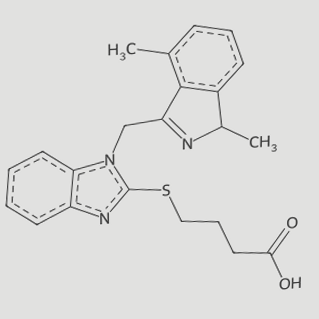 Cc1cccc2c1C(Cn1c(SCCCC(=O)O)nc3ccccc31)=NC2C